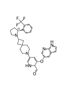 O=CC1NC=C(N2CCC3(CC2)CC(N2CCC[C@H]2c2ccccc2C(F)(F)F)C3)C=C1Oc1cnc2[nH]ccc2c1